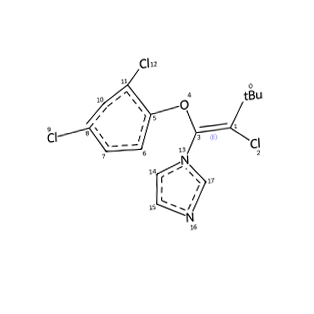 CC(C)(C)/C(Cl)=C(\Oc1ccc(Cl)cc1Cl)n1ccnc1